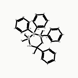 CC1(c2ccccc2)C[Si](C)(c2ccccc2)[Si](c2ccccc2)(c2ccccc2)[Si](C)(C)O1